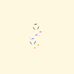 CS(=O)(=O)c1ccnc(-c2nc(=O)c3ccccc3s2)c1